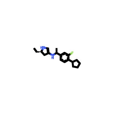 CC[C@H]1CC(NC(C)c2ccc(C3CCCC3)c(F)c2)=CN1